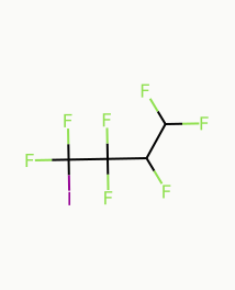 FC(F)C(F)C(F)(F)C(F)(F)I